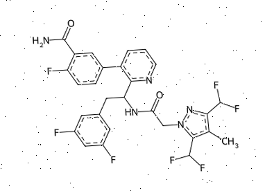 Cc1c(C(F)F)nn(CC(=O)NC(Cc2cc(F)cc(F)c2)c2ncccc2-c2ccc(F)c(C(N)=O)c2)c1C(F)F